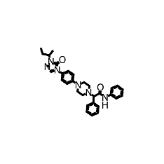 CCC(C)n1ncn(-c2ccc(N3CCN(C(C(=O)Nc4ccccc4)c4ccccc4)CC3)cc2)c1=O